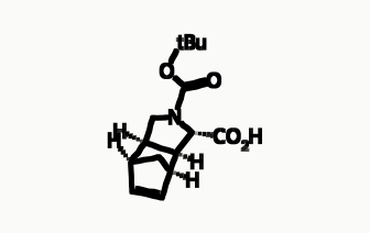 CC(C)(C)OC(=O)N1C[C@H]2[C@@H]([C@H]1C(=O)O)[C@H]1C=C[C@@H]2C1